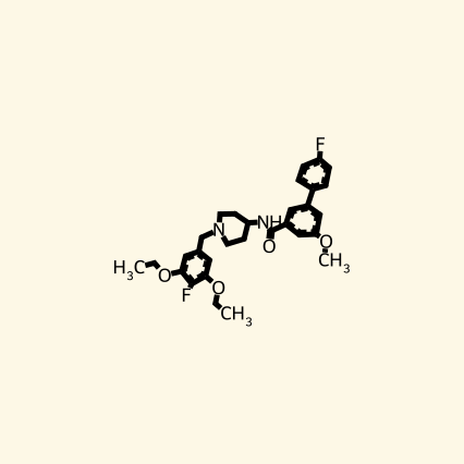 CCOc1cc(CN2CCC(NC(=O)c3cc(OC)cc(-c4ccc(F)cc4)c3)CC2)cc(OCC)c1F